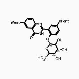 CCCCCc1ccc(O[C@@H]2OC(C(=O)O)[C@@H](O)[C@@H](O)C2O)c(-c2nc3ccc(CCCCC)cc3c(=O)[nH]2)c1